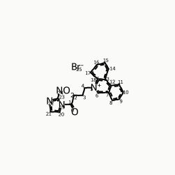 O=C(CCC[n+]1cc2ccccc2c2ccccc21)n1ccnc1[N+](=O)[O-].[Br-]